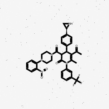 CC(=O)C1=C(C)N(c2cccc(C(F)(F)F)c2)C(=O)C(C(=O)N2CCN(c3ccccc3[N+](=O)[O-])CC2)C1c1ccc([C@H]2CN2)cc1